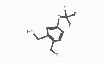 OCc1cc(OC(F)(F)F)ccc1CCl